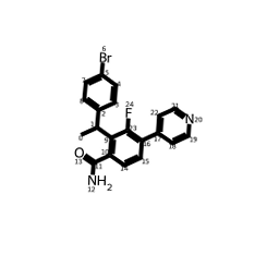 CC(c1ccc(Br)cc1)c1c(C(N)=O)ccc(-c2ccncc2)c1F